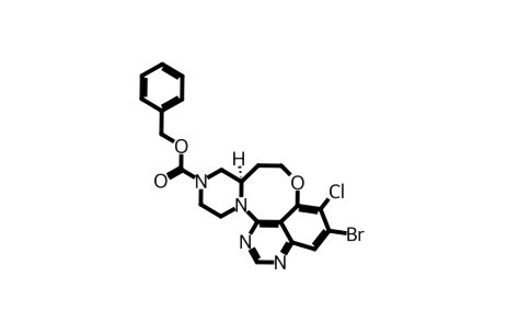 O=C(OCc1ccccc1)N1CCN2c3ncnc4cc(Br)c(Cl)c(c34)OCC[C@@H]2C1